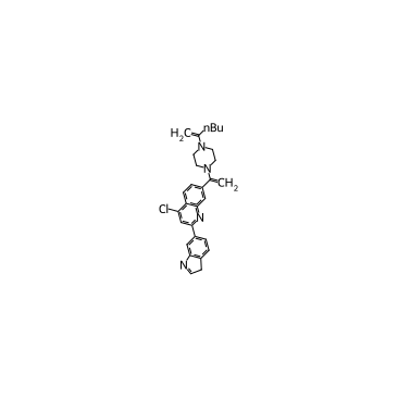 C=C(CCCC)N1CCN(C(=C)c2ccc3c(Cl)cc(-c4ccc5c(c4)N=CC5)nc3c2)CC1